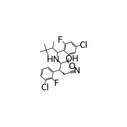 CC(C(N[C@@H](C(=O)O)[C@@H](CC#N)c1cccc(Cl)c1F)c1ccc(Cl)cc1F)C(C)(C)C